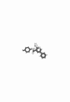 CC1CCC(NC(=O)c2cc(-c3ccccc3)cnc2N)CC1